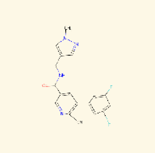 Cn1cc(CNC(=O)c2cnc(C#N)c(-c3cc(F)cc(F)c3)c2)cn1